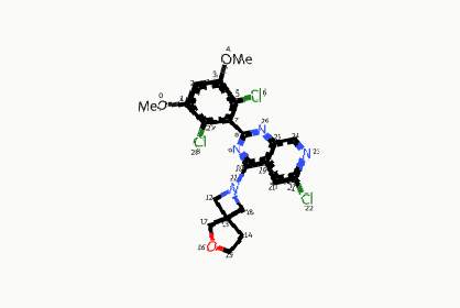 COc1cc(OC)c(Cl)c(-c2nc(N3CC4(CCOC4)C3)c3cc(Cl)ncc3n2)c1Cl